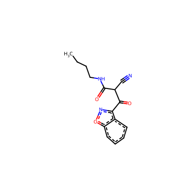 CCCCNC(=O)C(C#N)C(=O)c1noc2ccccc12